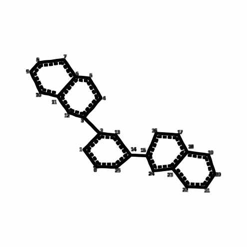 [c]1cc(-c2ccc3ccccc3c2)cc(-c2ccc3ccccc3c2)c1